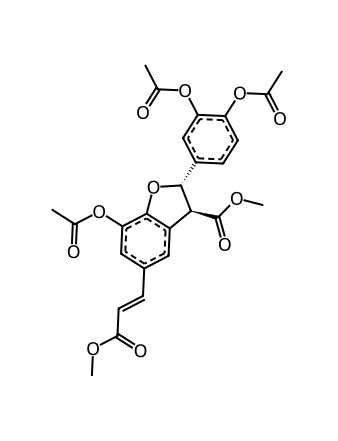 COC(=O)/C=C/c1cc(OC(C)=O)c2c(c1)[C@H](C(=O)OC)[C@@H](c1ccc(OC(C)=O)c(OC(C)=O)c1)O2